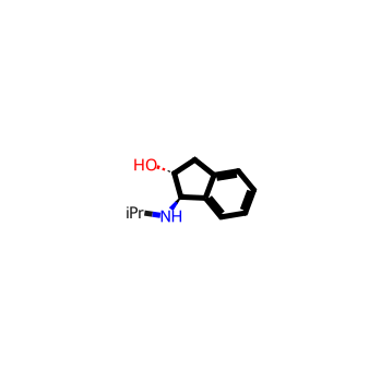 CC(C)N[C@@H]1c2ccccc2C[C@H]1O